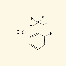 Cl.Cl.Fc1ccccc1P(F)(F)(F)F